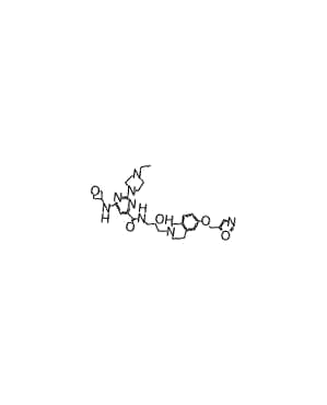 CCN1CCN(c2nc(NC3COC3)cc(C(=O)NCC(O)CN3CCc4cc(OCc5cnco5)ccc4C3)n2)CC1